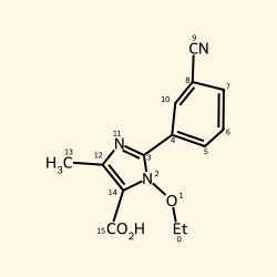 CCOn1c(-c2cccc(C#N)c2)nc(C)c1C(=O)O